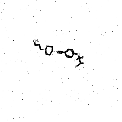 CCCC[C@H]1CC[C@H](C#Cc2ccc(OC(F)(F)C(F)F)cc2)CC1